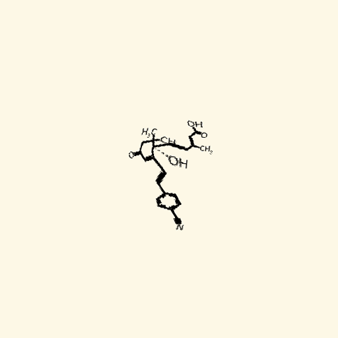 CC(C=C[C@@]1(O)C(C=Cc2ccc(C#N)cc2)=CC(=O)CC1(C)C)=CC(=O)O